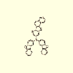 c1ccc2c(c1)ccc1c3ncc(N(c4ccc5oc6ccccc6c5c4)c4ccc5oc6ccccc6c5c4)cc3sc21